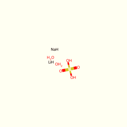 O.O.O=S(=O)(O)O.[LiH].[NaH]